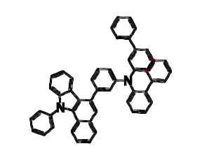 c1ccc(-c2cccc(N(c3cccc(-c4cc5ccccc5c5c4c4ccccc4n5-c4ccccc4)c3)c3ccccc3-c3ccccc3)c2)cc1